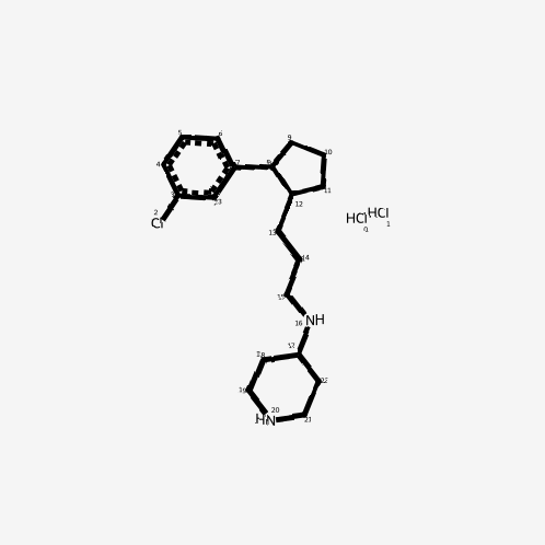 Cl.Cl.Clc1cccc(C2CCCC2CCCNC2CCNCC2)c1